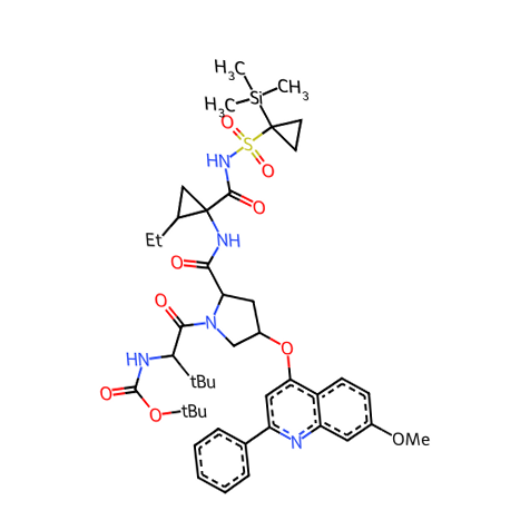 CCC1CC1(NC(=O)C1CC(Oc2cc(-c3ccccc3)nc3cc(OC)ccc23)CN1C(=O)C(NC(=O)OC(C)(C)C)C(C)(C)C)C(=O)NS(=O)(=O)C1([Si](C)(C)C)CC1